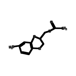 CC(=O)OCC1COc2ccc(C)cc2O1